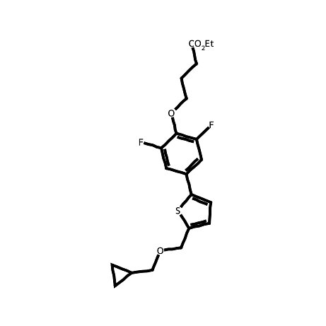 CCOC(=O)CCCOc1c(F)cc(-c2ccc(COCC3CC3)s2)cc1F